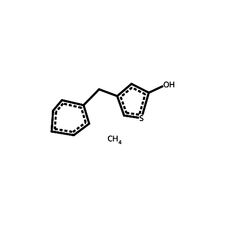 C.Oc1cc(Cc2ccccc2)cs1